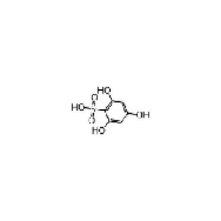 O=S(=O)(O)c1c(O)cc(O)cc1O